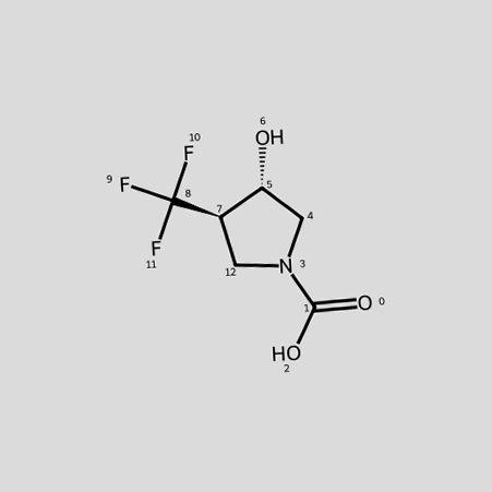 O=C(O)N1C[C@@H](O)[C@H](C(F)(F)F)C1